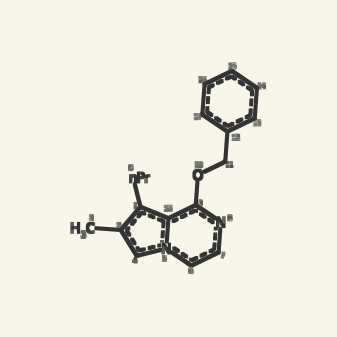 CCCc1c(C)cn2ccnc(OCc3ccccc3)c12